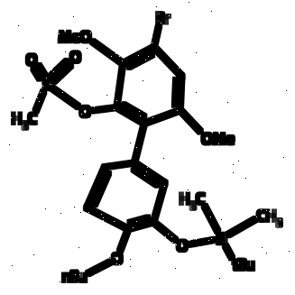 CCCCOc1ccc(-c2c(OC)cc(Br)c(OC)c2OS(C)(=O)=O)cc1O[Si](C)(C)C(C)(C)C